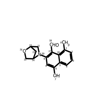 Cc1cccc2c(O)cc(N3CC4CC3CO4)c(C=O)c12